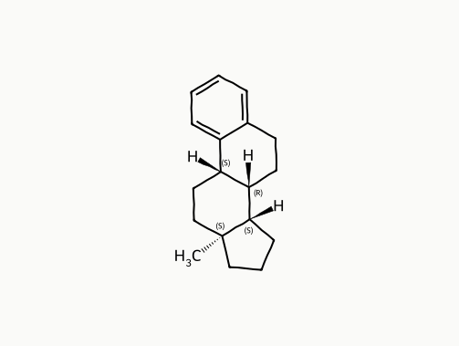 C[C@@]12CCC[C@H]1[C@H]1CCc3ccccc3[C@H]1CC2